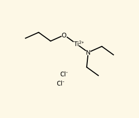 CCC[O][Ti+2][N](CC)CC.[Cl-].[Cl-]